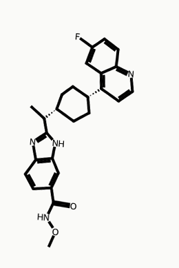 CONC(=O)c1ccc2nc(C(C)[C@H]3CC[C@@H](c4ccnc5ccc(F)cc54)CC3)[nH]c2c1